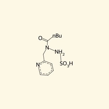 CCCCC(=O)N(N)Cc1ccccn1.CS(=O)(=O)O